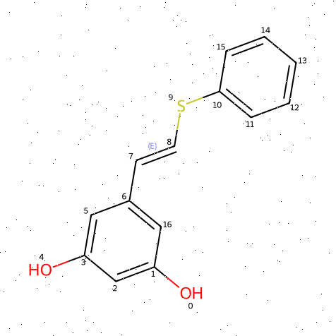 Oc1cc(O)cc(/C=C/Sc2ccccc2)c1